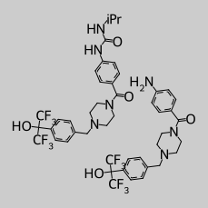 CC(C)NC(=O)Nc1ccc(C(=O)N2CCN(Cc3ccc(C(O)(C(F)(F)F)C(F)(F)F)cc3)CC2)cc1.Nc1ccc(C(=O)N2CCN(Cc3ccc(C(O)(C(F)(F)F)C(F)(F)F)cc3)CC2)cc1